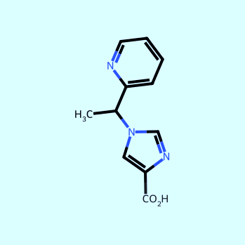 CC(c1ccccn1)n1cnc(C(=O)O)c1